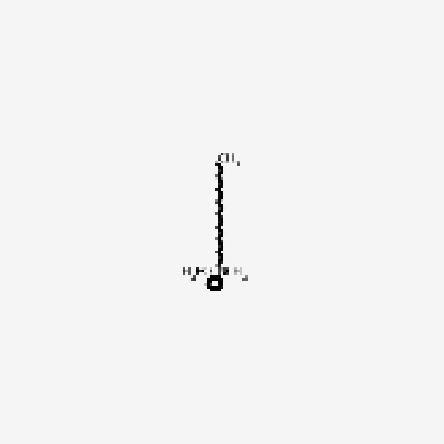 CCCCCCCCCCCCCCCCCCN(C)c1ccccc1OC